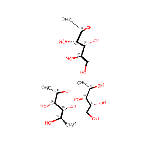 O=C[C@H](O)[C@@H](O)[C@H](O)CO.O=C[C@H](O)[C@@H](O)[C@H](O)[C@H](O)C(=O)O.O=C[C@H](O)[C@@H](O)[C@H](O)[C@H](O)CO